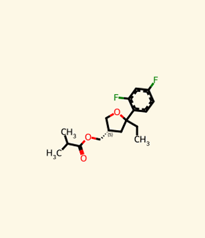 CCC1(c2ccc(F)cc2F)C[C@H](COC(=O)C(C)C)CO1